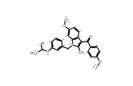 Cc1c(C(=O)c2ccc(OC(F)(F)F)cc2)c2ccc(OC(F)(F)F)cc2n1Cc1cccc(OC(C(=O)O)C(C)C)c1